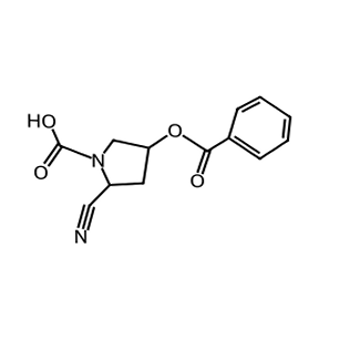 N#CC1CC(OC(=O)c2ccccc2)CN1C(=O)O